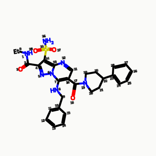 CCNC(=O)c1nn2c(NCc3ccccc3)c(C(=O)N3CCC(c4ccccc4)CC3)cnc2c1S(N)(=O)=O